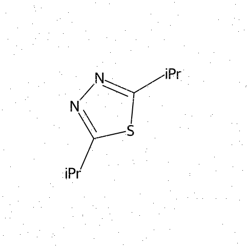 CC(C)c1nnc(C(C)C)s1